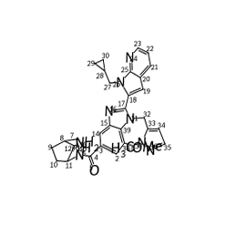 COc1cc(C(=O)N2CC3CCC2[C@@H]3N)cc2nc(-c3cc4cccnc4n3CC3CC3)n(Cc3ccnn3C)c12